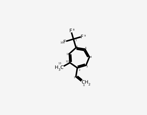 C=CC1=CC=C=C(C(F)(F)F)C=C1C